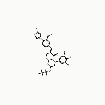 COc1cc(/C=C2\CCC3CC(O[Si](C)(C)C(C)(C)C)CC(c4cc(F)c(F)c(F)c4)N3C2=O)ccc1-n1cnc(C)c1